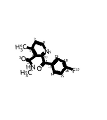 CNC(=O)c1c(C)ccnc1C(=O)c1ccc(F)cc1